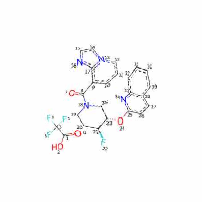 O=C(O)C(F)(F)F.O=C(c1cccn2ccnc12)N1CC[C@H](F)[C@@H](Oc2ccc3ccccc3n2)C1